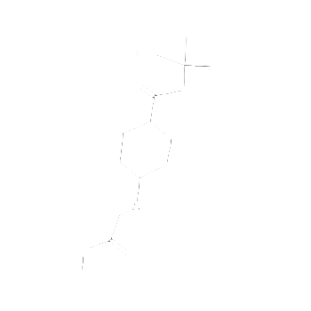 COC(=O)CNC1CCC(C(=O)OC(C)(C)C)CC1